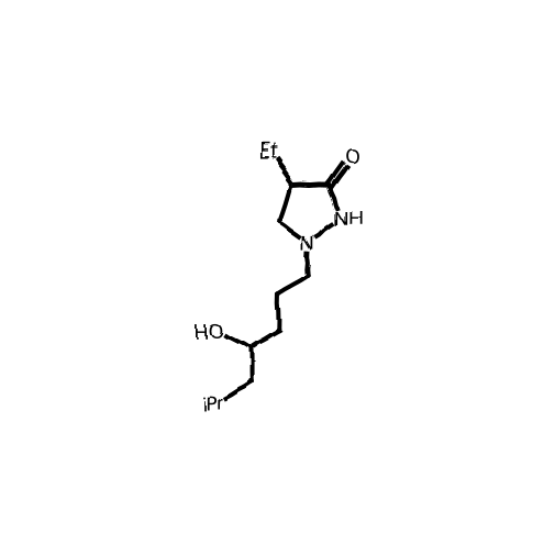 [CH2]CC1CN(CCCC(O)CC(C)C)NC1=O